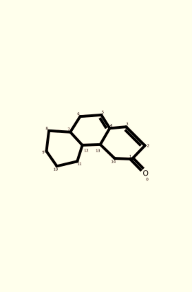 O=C1C=CC2=CCC3CCCCC3C2C1